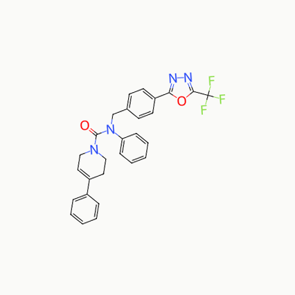 O=C(N1CC=C(c2ccccc2)CC1)N(Cc1ccc(-c2nnc(C(F)(F)F)o2)cc1)c1ccccc1